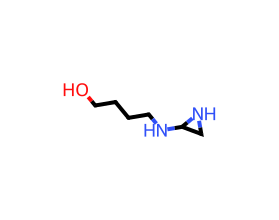 OCCCCNC1CN1